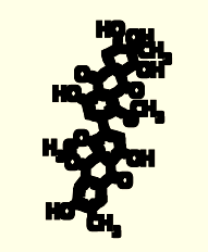 COc1c(-c2cc(O)c3c(c2OC)C(=O)c2cc(O)c(C)cc2C3=O)cc(O)c2c1C(=O)C1=C(CC(O)C(C)(O)C1O)C2=O